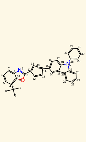 CC(C)(C)c1cccc2nc(-c3ccc(-c4ccc5c(c4)c4ccccc4n5-c4ccccc4)cc3)oc12